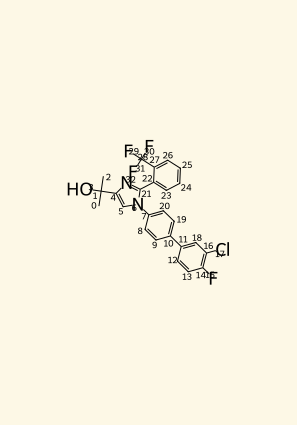 CC(C)(O)c1cn(-c2ccc(-c3ccc(F)c(Cl)c3)cc2)c(-c2ccccc2C(F)(F)F)n1